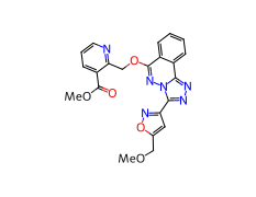 COCc1cc(-c2nnc3c4ccccc4c(OCc4ncccc4C(=O)OC)nn23)no1